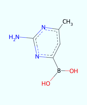 Cc1cc(B(O)O)nc(N)n1